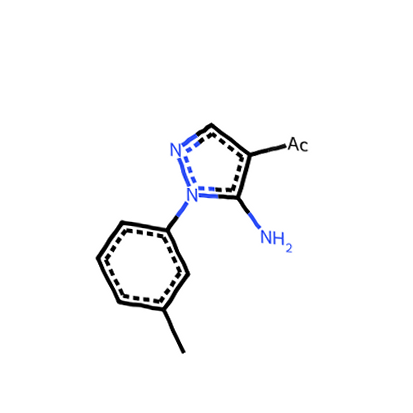 CC(=O)c1cnn(-c2cccc(C)c2)c1N